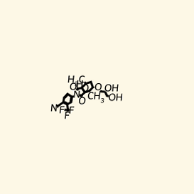 CC12C[C@H](OCC(O)CO)[C@@](C)(O1)C1C(=O)N(c3ccc(C#N)c(C(F)(F)F)c3)C(=O)[C@@H]12